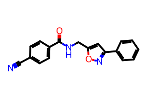 N#Cc1ccc(C(=O)NCc2cc(-c3ccccc3)no2)cc1